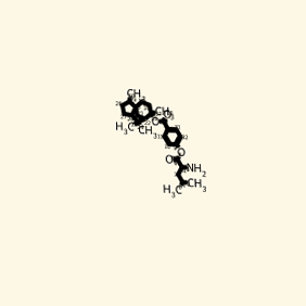 CC(C)CC(N)C(=O)Oc1ccc(C(=O)OC2(C)CCC34CC2C(C)(C)C3CCC4C)cc1